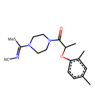 CS/C(=N\C#N)N1CCN(C(=O)C(C)Oc2ccc(C)cc2C)CC1